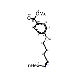 CCCCCC/C=C\CCCOc1ccc(C(=O)OC)cc1